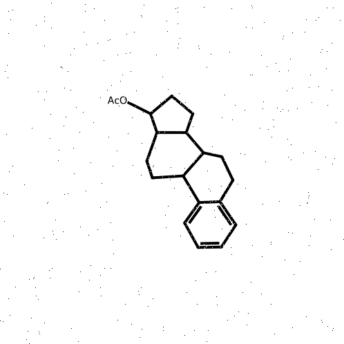 CC(=O)OC1CCC2C1CCC1c3ccccc3CCC12